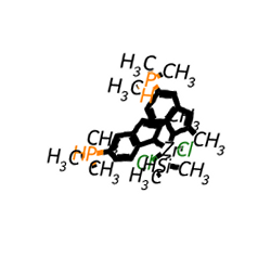 CC1=Cc2cc([PH](C)(C)C)ccc2[CH]1[Zr]([Cl])([Cl])([CH]1C(C)=Cc2cc([PH](C)(C)C)ccc21)[SiH](C)C